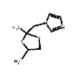 CC1CSC(C)(Cn2ccnc2)S1